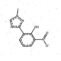 Cn1cnc(-c2cccc([N+](=O)[O-])c2O)n1